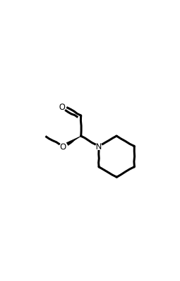 CO[C@@H](C=O)N1CCCCC1